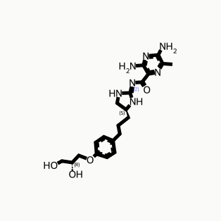 Cc1nc(C(=O)/N=C2/NC[C@H](CCCc3ccc(OC[C@H](O)CO)cc3)N2)c(N)nc1N